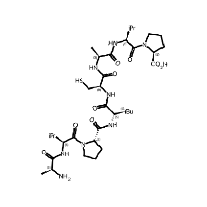 CC[C@H](C)[C@H](NC(=O)[C@@H]1CCCN1C(=O)[C@@H](NC(=O)[C@H](C)N)C(C)C)C(=O)N[C@@H](CS)C(=O)N[C@@H](C)C(=O)N[C@H](C(=O)N1CCC[C@H]1C(=O)O)C(C)C